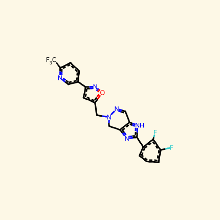 Fc1cccc(-c2nc3c([nH]2)C=NN(Cc2cc(-c4ccc(C(F)(F)F)nc4)no2)C3)c1F